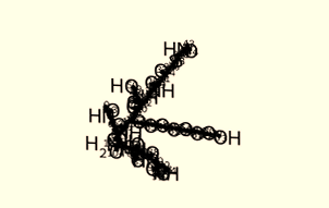 CCC(=O)NCCCCC(NC(=O)CCC(CCC(=O)CC(CCCCNC(=O)CCCC(=O)CCCSSCCNC(C)=O)C(=O)NCCO)COCCOCCOCCOCCOCCOCCOCCO)C(=O)NC(CSC1CC(=O)N(CCC(=O)NCC(CC(C)=O)C(=O)NC)C1=O)C(N)=O